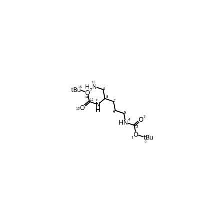 CC(C)(C)OC(=O)NCCCC(CN)NC(=O)OC(C)(C)C